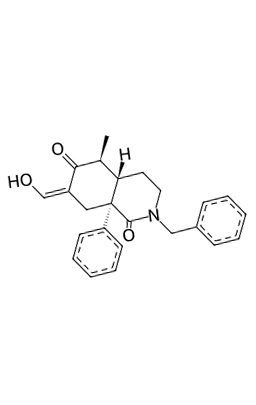 C[C@@H]1C(=O)/C(=C\O)C[C@]2(c3ccccc3)C(=O)N(Cc3ccccc3)CC[C@@H]12